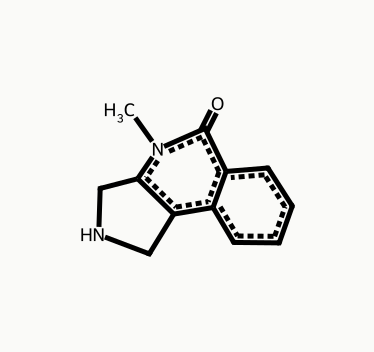 Cn1c2c(c3ccccc3c1=O)CNC2